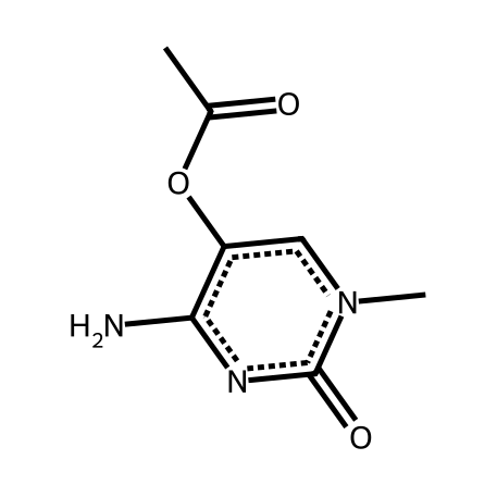 CC(=O)Oc1cn(C)c(=O)nc1N